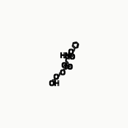 CC(C)(CCS(=O)(=O)CCOCCOCCO)NC(=O)OCc1ccccc1